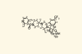 [2H]C([2H])([2H])OC([2H])([2H])[C@@]([2H])(c1ccc(C(F)(F)F)cc1)N1CCN(C2(C)CCN(C(=O)c3c(C)ccnc3C)CC2)C[C@@H]1C